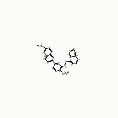 COc1ccc2cc(-c3ccc(C(=O)O)c(OCc4cccc5ccccc45)c3)ccc2c1